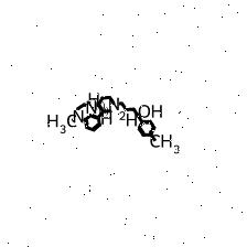 [2H]C(O)(CCCN1CC[C@H]2[C@@H](C1)c1cccc3c1N2CCN3C)c1ccc(C)cc1